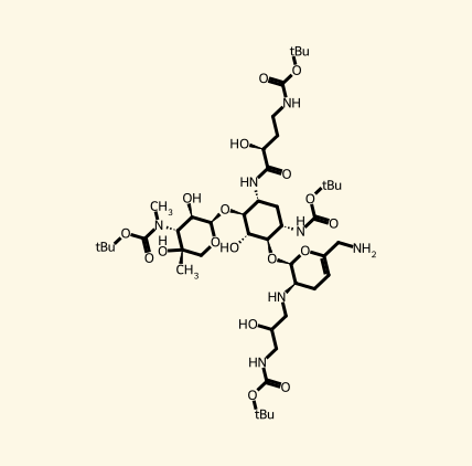 CN(C(=O)OC(C)(C)C)[C@@H]1[C@@H](O)[C@@H](O[C@@H]2[C@@H](O)[C@H](O[C@H]3OC(CN)=CC[C@H]3NCC(O)CNC(=O)OC(C)(C)C)[C@@H](NC(=O)OC(C)(C)C)C[C@H]2NC(=O)[C@@H](O)CCNC(=O)OC(C)(C)C)OC[C@]1(C)O